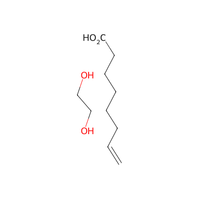 C=CCCCCCC(=O)O.OCCO